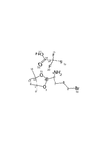 CC1(C)OB(C(N)CCCBr)OC1(C)C.O=C(O)C(F)(F)F